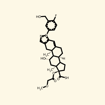 COCC(=O)O[C@]1(C(=O)S)CCC2[C@@H]3CCC4=Cc5c(cnn5-c5ccc(F)c(CO)c5)C[C@]4(C)C3[C@@H](O)C[C@@]21C